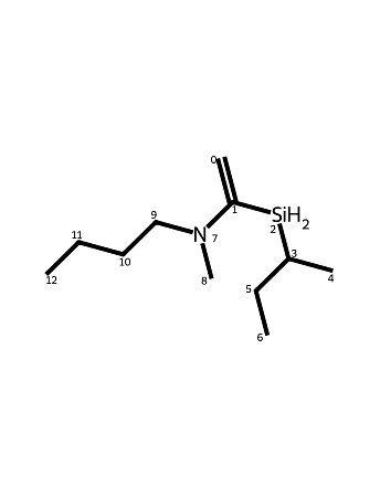 C=C([SiH2]C(C)CC)N(C)CCCC